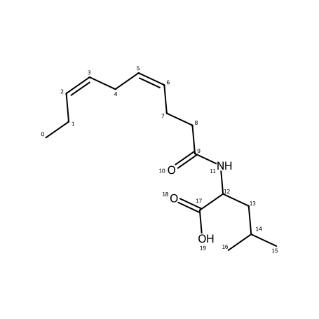 CC/C=C\C/C=C\CCC(=O)NC(CC(C)C)C(=O)O